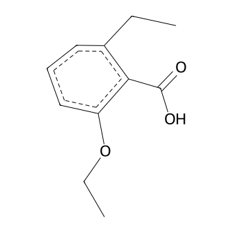 CCOc1cccc(CC)c1C(=O)O